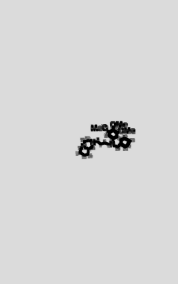 COc1cc(N(CCCCN2CCN3CCCCC3C2)Cc2ccccc2)cc(OC)c1OC